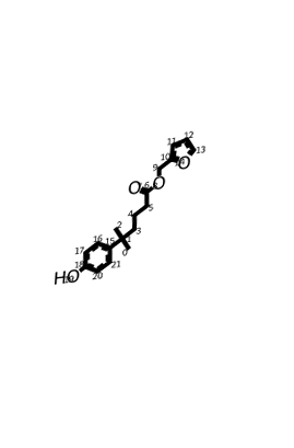 CC(C)(CCCC(=O)OCc1ccco1)c1ccc(O)cc1